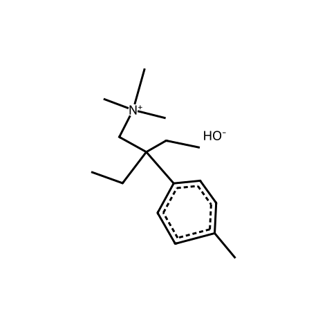 CCC(CC)(C[N+](C)(C)C)c1ccc(C)cc1.[OH-]